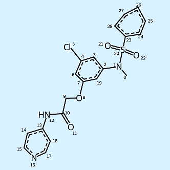 CN(c1cc(Cl)cc(OCC(=O)Nc2ccncc2)c1)S(=O)(=O)c1ccccc1